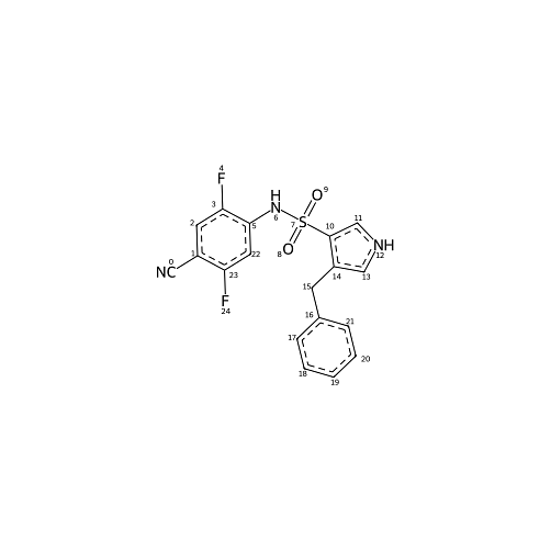 N#Cc1cc(F)c(NS(=O)(=O)c2c[nH]cc2Cc2ccccc2)cc1F